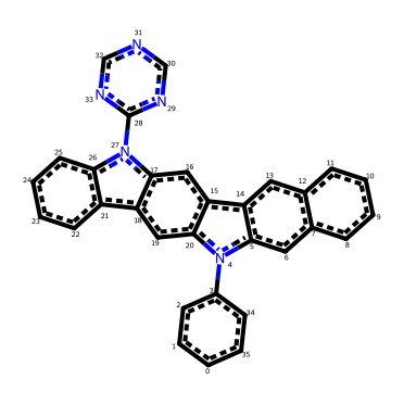 c1ccc(-n2c3cc4ccccc4cc3c3cc4c(cc32)c2ccccc2n4-c2ncncn2)cc1